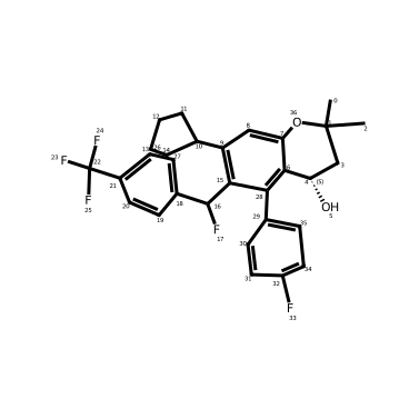 CC1(C)C[C@H](O)c2c(cc(C3CCCC3)c(C(F)c3ccc(C(F)(F)F)cc3)c2-c2ccc(F)cc2)O1